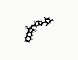 Cc1cc(C)c(-c2cc3sc(C=C4C(=O)c5cc6ccccc6cc5C4=O)nc3o2)c(C)c1